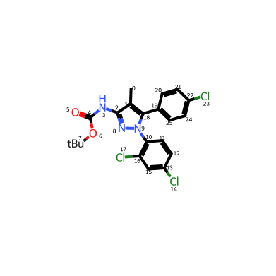 Cc1c(NC(=O)OC(C)(C)C)nn(-c2ccc(Cl)cc2Cl)c1-c1ccc(Cl)cc1